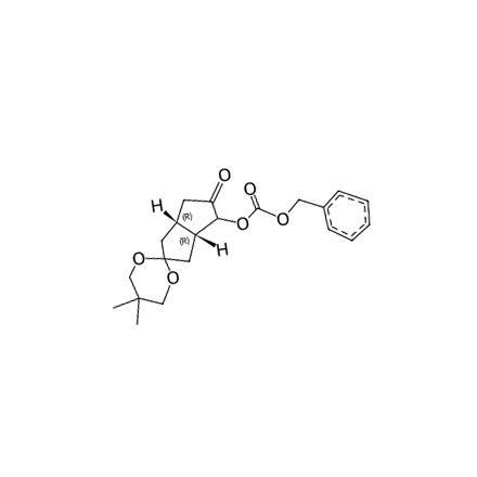 CC1(C)COC2(C[C@@H]3CC(=O)C(OC(=O)OCc4ccccc4)[C@@H]3C2)OC1